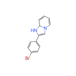 Brc1ccc(C2=CN3C=CC=CC3N2)cc1